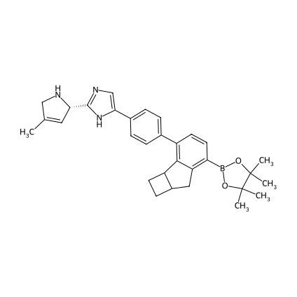 CC1=C[C@@H](c2ncc(-c3ccc(-c4ccc(B5OC(C)(C)C(C)(C)O5)c5c4C4CCC4C5)cc3)[nH]2)NC1